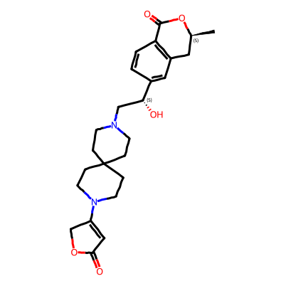 C[C@H]1Cc2cc([C@H](O)CN3CCC4(CC3)CCN(C3=CC(=O)OC3)CC4)ccc2C(=O)O1